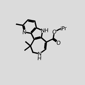 Cc1ccc2[nH]c3c(c2n1)C(C)(C)CNC=C3C(=O)OC(C)C